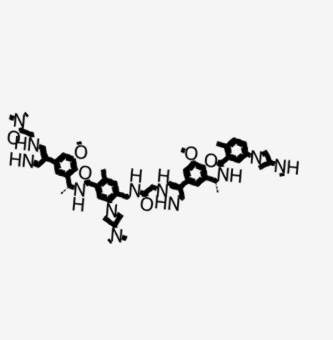 CNC1CN(c2ccc(C)c(C(=O)N[C@H](C)c3cc(OC)cc(/C(C=N)=C/NCC(=O)NCc4cc(C)c(C(=O)N[C@H](C)c5cc(OC)cc(/C(C=N)=C/NCC(=O)N(C)C)c5)cc4N4CC(N(C)C)C4)c3)c2)C1